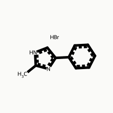 Br.Cc1nc(-c2ccccc2)c[nH]1